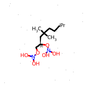 CC(C)CCC(C)(C)C[C@H](CON(O)O)ON(O)O